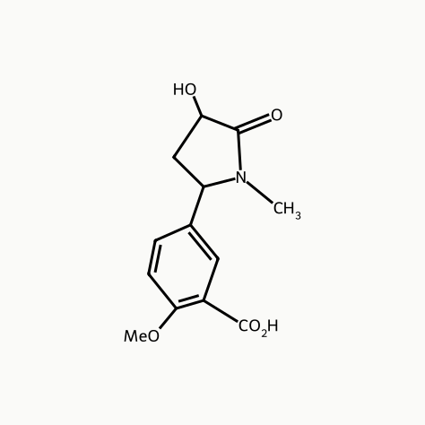 COc1ccc(C2CC(O)C(=O)N2C)cc1C(=O)O